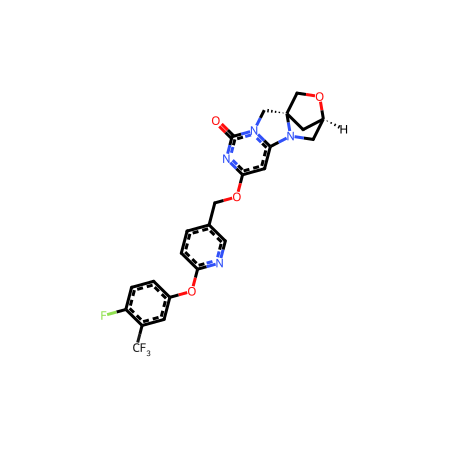 O=c1nc(OCc2ccc(Oc3ccc(F)c(C(F)(F)F)c3)nc2)cc2n1C[C@@]13CO[C@@H](CN21)C3